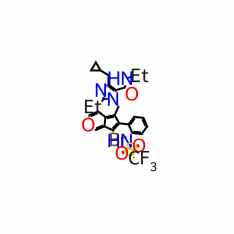 CCNC(=O)c1c(CC2CC2)nc(CC)n1Cc1c2ccocc-2c(Br)c1-c1ccccc1NS(=O)(=O)C(F)(F)F